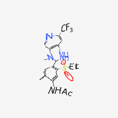 CCS(=O)(=O)c1cc(NC(C)=O)c(C)cc1C1Nc2cc(C(F)(F)F)ncc2N1C